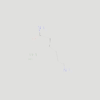 Cl.Cl.NCCCCCC(N)=O